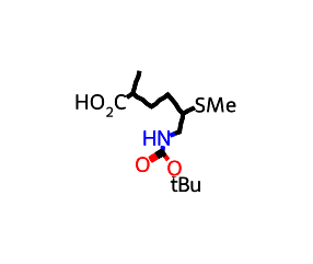 CSC(CCC(C)C(=O)O)CNC(=O)OC(C)(C)C